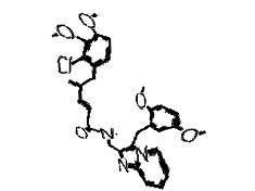 COc1ccc(OC)c(Cc2c(C[N]C(=O)CCC(C)Cc3ccc(OC)c(OC)c3Cl)nc3ccccn23)c1